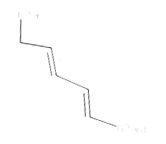 [CH2]CCCCC/C=C/C=C/CCCCC